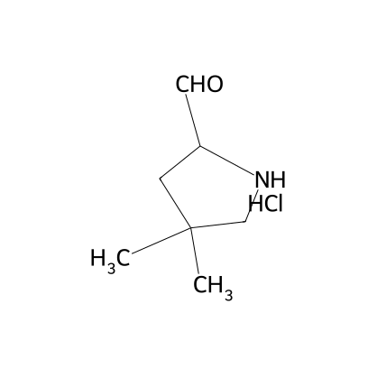 CC1(C)CNC(C=O)C1.Cl